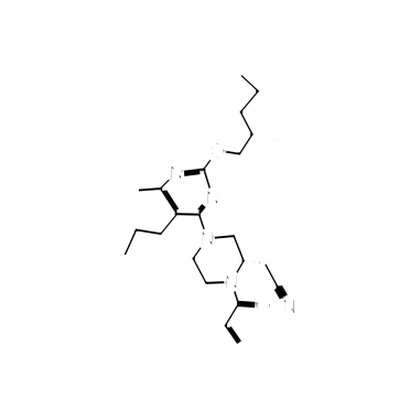 C=CC(=O)N1CCN(c2nc(OC[C@@H](C)CCC)nc(C)c2CCC)C[C@@H]1CC#N